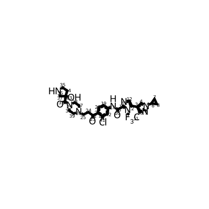 Cn1c(-c2cn(C3CC3)nc2C(F)(F)F)cnc1C(=O)Nc1ccc(C(=O)CCN2CCN(C(=O)C3(O)CCNC3)CC2)c(Cl)c1